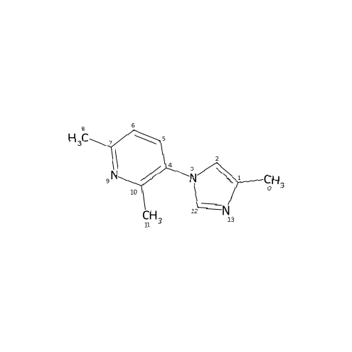 Cc1cn(-c2ccc(C)nc2C)cn1